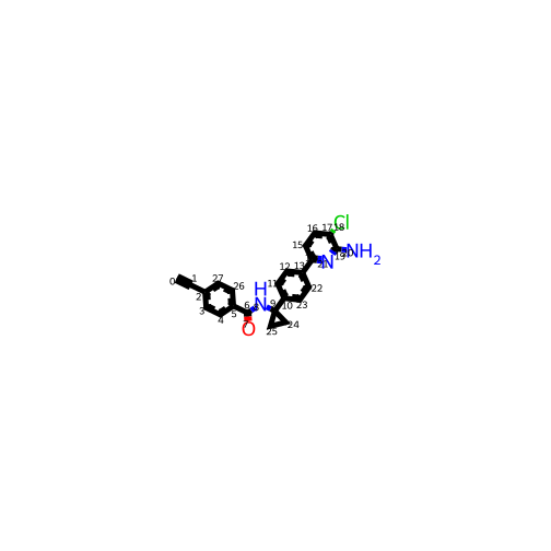 C#Cc1ccc(C(=O)NC2(c3ccc(-c4ccc(Cl)c(N)n4)cc3)CC2)cc1